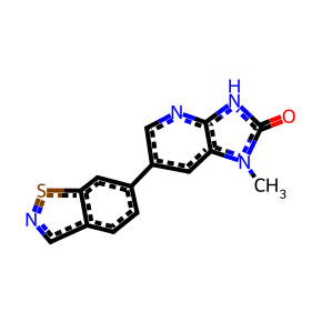 Cn1c(=O)[nH]c2ncc(-c3ccc4cnsc4c3)cc21